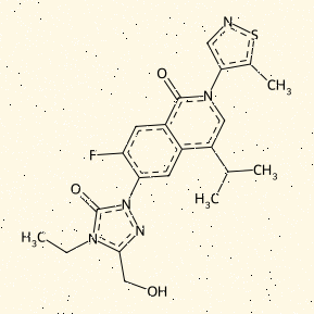 CCn1c(CO)nn(-c2cc3c(C(C)C)cn(-c4cnsc4C)c(=O)c3cc2F)c1=O